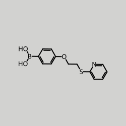 OB(O)c1ccc(OCCSc2ccccn2)cc1